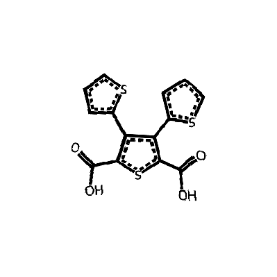 O=C(O)c1sc(C(=O)O)c(-c2cccs2)c1-c1cccs1